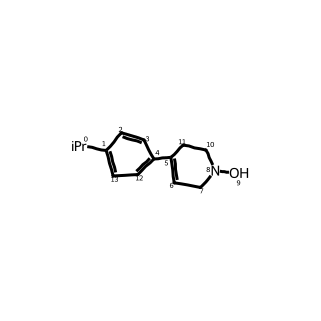 CC(C)c1ccc(C2=CCN(O)CC2)cc1